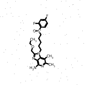 CCOCc1nc2c(N)nc(C)c(C)c2n1CCCCC[S+]([O-])c1ccc(F)cc1F